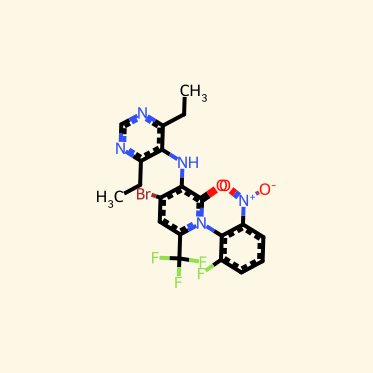 CCc1ncnc(CC)c1Nc1c(Br)cc(C(F)(F)F)n(-c2c(F)cccc2[N+](=O)[O-])c1=O